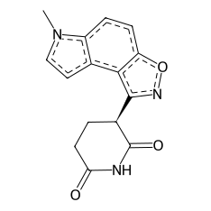 Cn1ccc2c3c([C@@H]4CCC(=O)NC4=O)noc3ccc21